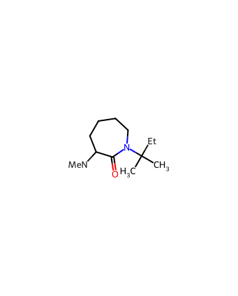 CCC(C)(C)N1CCCCC(NC)C1=O